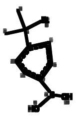 CCC(C)(C)c1ccc(B(O)O)cc1